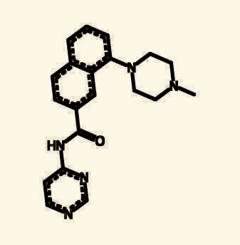 CN1CCN(c2cccc3ccc(C(=O)Nc4ccncn4)cc23)CC1